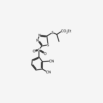 CCOC(=O)C(C)Sc1nnc(S(=O)(=O)c2cccc(C#N)c2C#N)s1